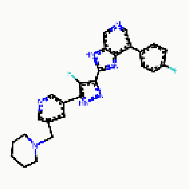 Fc1ccc(-c2cncc3[nH]c(-c4n[nH]c(-c5cncc(CN6CCCCC6)c5)c4F)nc23)cc1